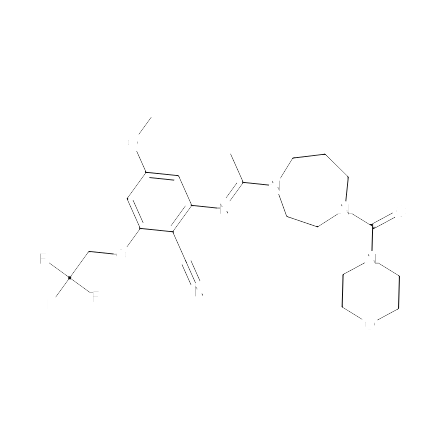 COc1cc(N=C(C)N2CCCN(C(=O)N3CCOCC3)CC2)c(C#N)c(OCC(F)(F)F)c1